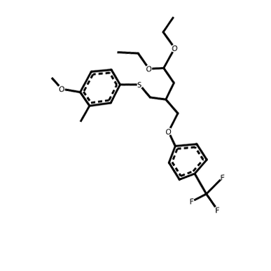 CCOC(CC(COc1ccc(C(F)(F)F)cc1)CSc1ccc(OC)c(C)c1)OCC